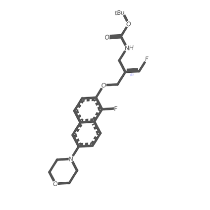 CC(C)(C)OC(=O)NC/C(=C\F)COc1ccc2cc(N3CCOCC3)ccc2c1F